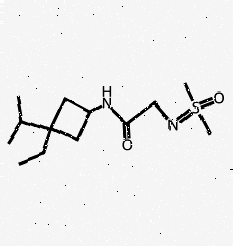 CCC1(C(C)C)CC(NC(=O)CN=S(C)(C)=O)C1